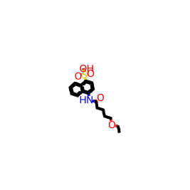 CCOCCCCC(=O)Nc1ccc(S(=O)(=O)O)c2ccccc12